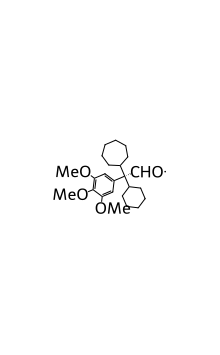 COc1cc([C@@]([C]=O)(C2CCCCCC2)C2CCCCC2)cc(OC)c1OC